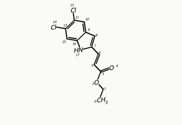 CCOC(=O)/C=C/c1cc2cc(Cl)c(Cl)cc2[nH]1